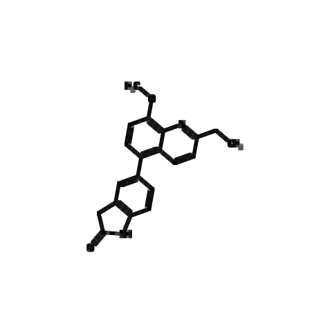 CCc1ccc2c(-c3ccc4c(c3)CC(=O)N4)ccc(OC)c2n1